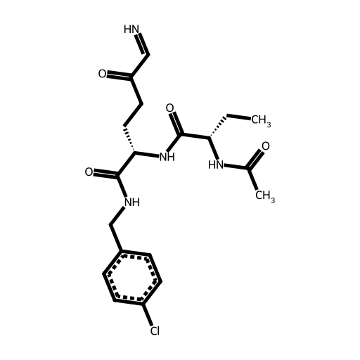 CC[C@H](NC(C)=O)C(=O)N[C@@H](CCC(=O)C=N)C(=O)NCc1ccc(Cl)cc1